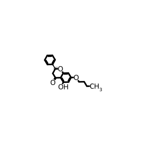 CCCCOc1cc(O)c2c(c1)O[C@H](c1ccccc1)CC2=O